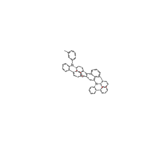 Cc1cccc(N(c2ccc3c(c2)oc2cc(N(c4ccccc4C)c4ccccc4-c4ccccc4)c4ccccc4c23)c2ccccc2-c2ccccc2)c1